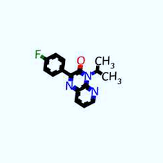 CC(C)n1c(=O)c(-c2ccc(F)cc2)nc2cccnc21